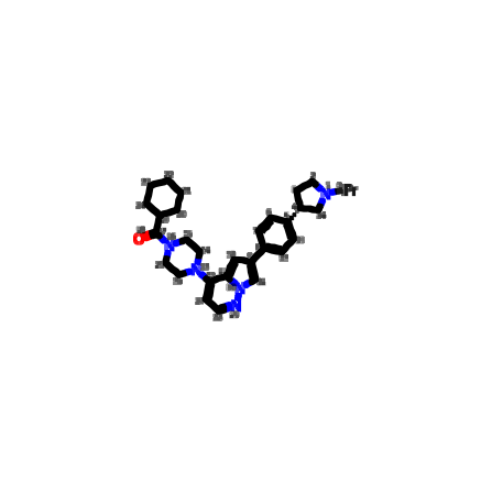 CC(C)N1CC[C@@H](c2ccc(-c3cc4c(N5CCN(C(=O)C6CCCCC6)CC5)ccnn4c3)cc2)C1